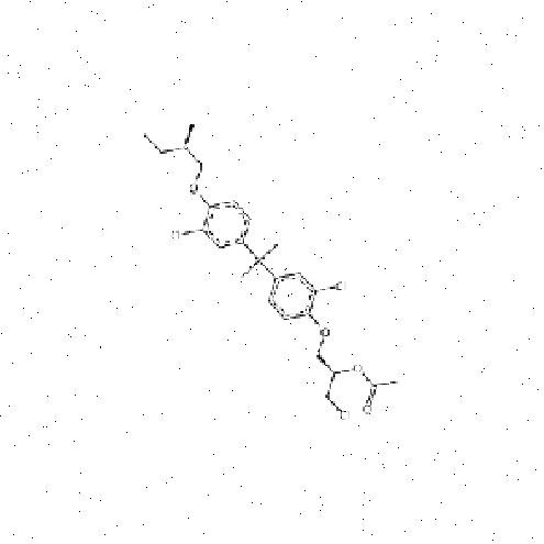 CC[C@@H](C)COc1ccc(C(C)(C)c2ccc(OC[C@H](CCl)OC(C)=O)c(Cl)c2)cc1Cl